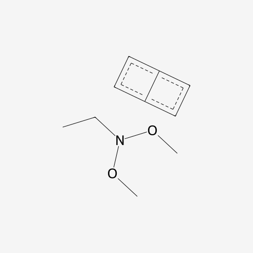 CCN(OC)OC.c1cc2ccc1-2